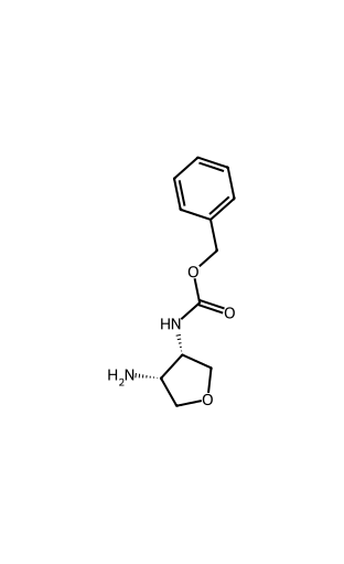 N[C@H]1COC[C@H]1NC(=O)OCc1ccccc1